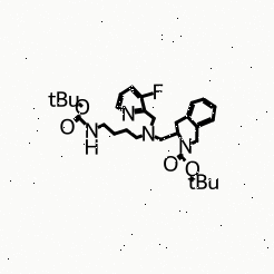 CC(C)(C)OC(=O)NCCCCN(Cc1ncccc1F)CC1Cc2ccccc2CN1C(=O)OC(C)(C)C